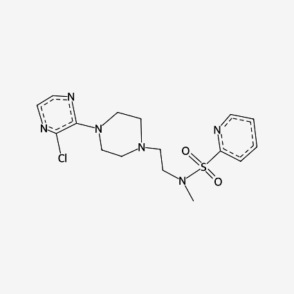 CN(CCN1CCN(c2nccnc2Cl)CC1)S(=O)(=O)c1ccccn1